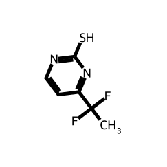 CC(F)(F)c1ccnc(S)n1